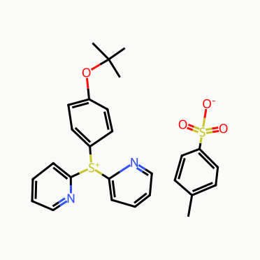 CC(C)(C)Oc1ccc([S+](c2ccccn2)c2ccccn2)cc1.Cc1ccc(S(=O)(=O)[O-])cc1